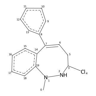 CN1NC(Cl)C/C=C(/c2ccccc2)c2ccccc21